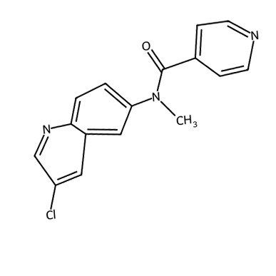 CN(C(=O)c1ccncc1)c1ccc2ncc(Cl)cc2c1